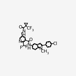 Cn1c(-c2ccc(Cl)cc2)cc2cc(NC(=O)c3cc(CNC(=O)C4(C(F)(F)F)CC4)cnc3C(F)F)ccc21